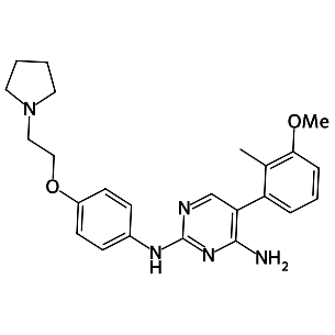 COc1cccc(-c2cnc(Nc3ccc(OCCN4CCCC4)cc3)nc2N)c1C